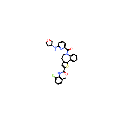 Cc1cccc(F)c1NC(=O)c1cc2c(s1)-c1ccccc1N(C(=O)c1cccc(N[C@H]3CCOC3)n1)CC2